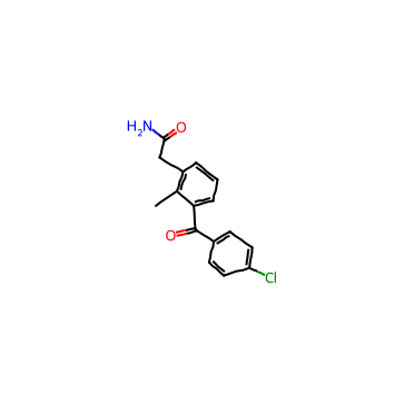 Cc1c(CC(N)=O)cccc1C(=O)c1ccc(Cl)cc1